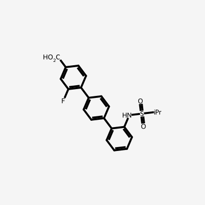 CC(C)S(=O)(=O)Nc1ccccc1-c1ccc(-c2ccc(C(=O)O)cc2F)cc1